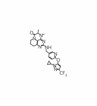 CC1C(=O)N2CCCc3nc(NCc4ccc(Oc5cc(C(F)(F)F)nn5C5CC5)nc4)nc(c32)N1C